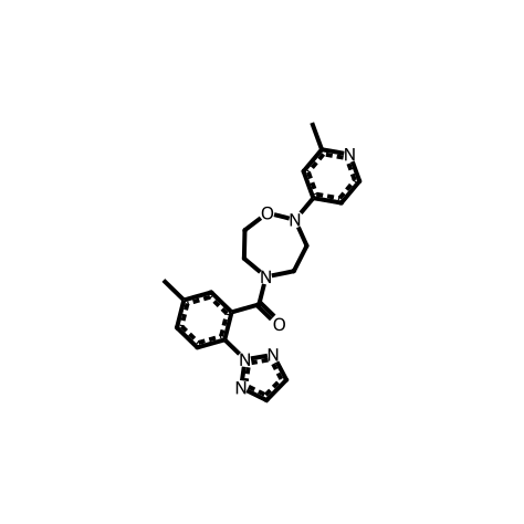 Cc1ccc(-n2nccn2)c(C(=O)N2CCON(c3ccnc(C)c3)CC2)c1